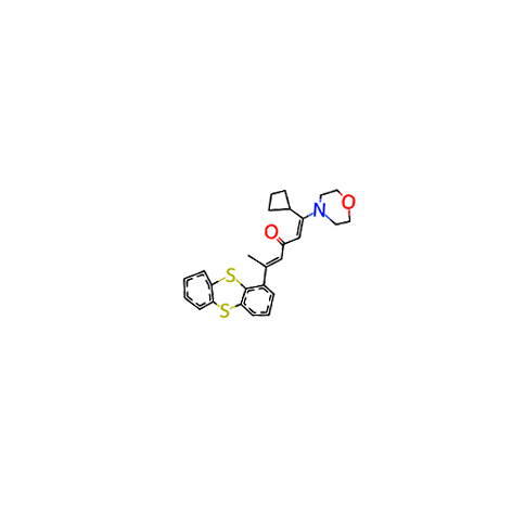 C/C(=C\C(=O)/C=C(\C1CCC1)N1CCOCC1)c1cccc2c1Sc1ccccc1S2